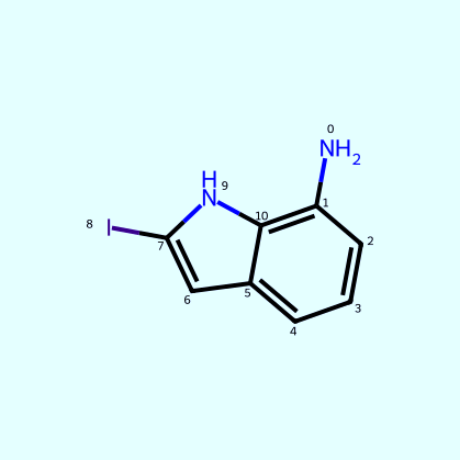 Nc1cccc2cc(I)[nH]c12